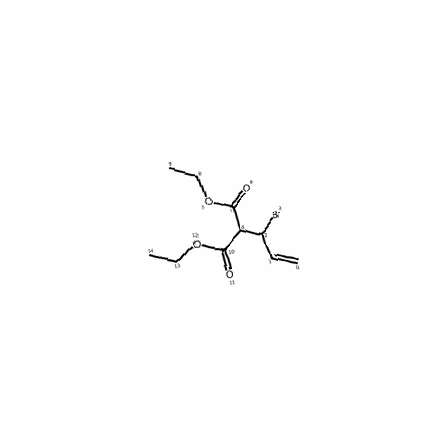 C=CC(Br)C(C(=O)OCC)C(=O)OCC